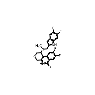 CN(Cc1cc2cc(F)c(F)cc2[nH]1)C1COCc2[nH]c(=O)c3cc(F)c(F)cc3c21